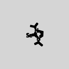 CC(C)n1ccn(C(C)C)c1=[Se]